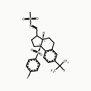 CS(=O)(=O)/N=C/C1CC[C@@]2(S(=O)(=O)c3ccc(F)cc3)c3ccc(C(F)(C(F)(F)F)C(F)(F)F)cc3CC[C@@H]12